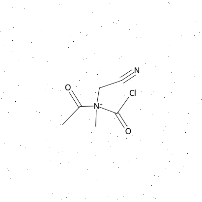 CC(=O)[N+](C)(CC#N)C(=O)Cl